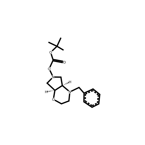 CC(C)(C)OC(=O)ON1C[C@@H]2OCCN(Cc3ccccc3)[C@@H]2C1